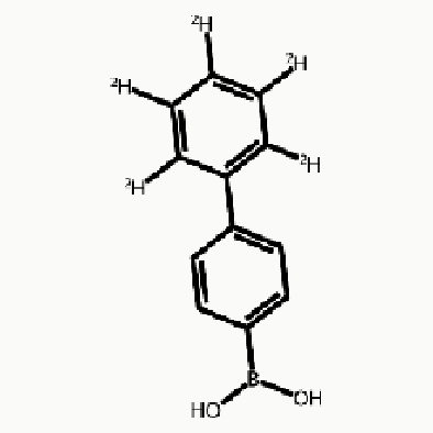 [2H]c1c([2H])c([2H])c(-c2ccc(B(O)O)cc2)c([2H])c1[2H]